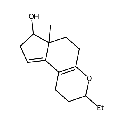 CCC1CCC2=C(CCC3(C)C2=CCC3O)O1